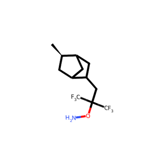 C[C@@H]1CC2CC1CC2CC(ON)(C(F)(F)F)C(F)(F)F